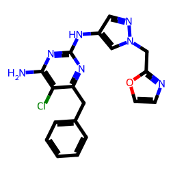 Nc1nc(Nc2cnn(Cc3ncco3)c2)nc(Cc2ccccc2)c1Cl